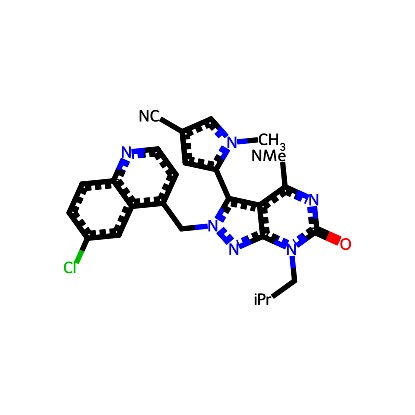 CNc1nc(=O)n(CC(C)C)c2nn(Cc3ccnc4ccc(Cl)cc34)c(-c3cc(C#N)cn3C)c12